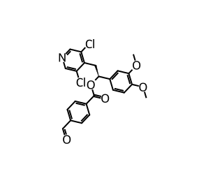 COc1ccc([C@H](Cc2c(Cl)cncc2Cl)OC(=O)c2ccc(C=O)cc2)cc1OC